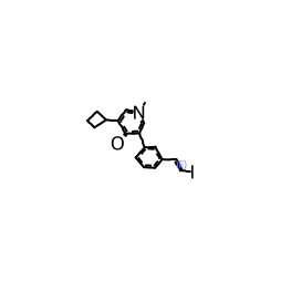 Cn1cc(-c2cccc(/C=C/I)c2)c(=O)c(C2CCC2)c1